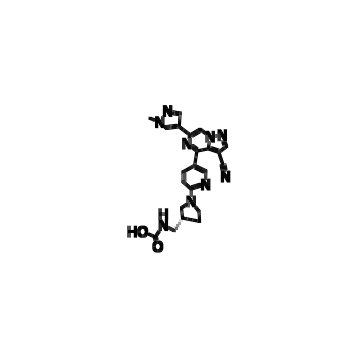 Cn1cc(-c2cn3ncc(C#N)c3c(-c3ccc(N4CC[C@H](CNC(=O)O)C4)nc3)n2)cn1